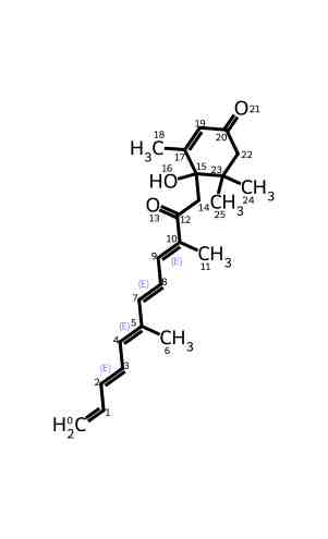 C=C/C=C/C=C(C)/C=C/C=C(\C)C(=O)CC1(O)C(C)=CC(=O)CC1(C)C